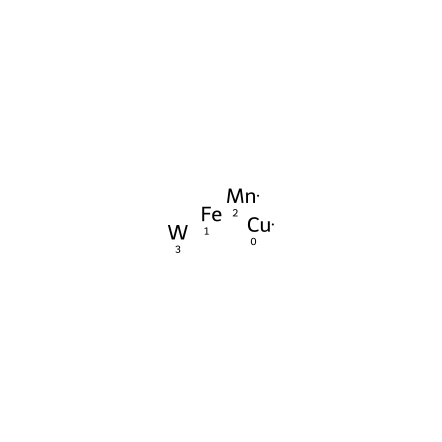 [Cu].[Fe].[Mn].[W]